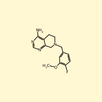 COc1cc(CN2CCc3c(N)ncnc3C2)ccc1F